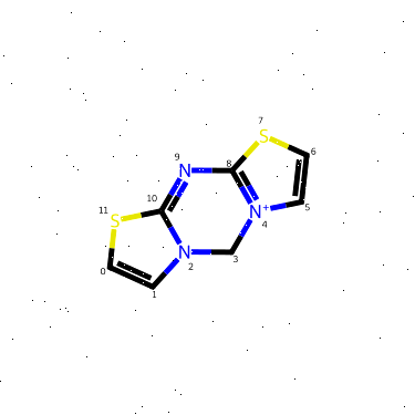 C1=CN2C[n+]3ccsc3N=C2S1